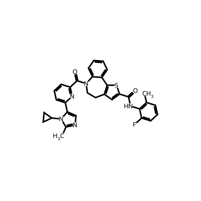 Cc1cccc(F)c1NC(=O)c1cc2c(s1)-c1ccccc1N(C(=O)c1cccc(-c3cnc(C)n3C3CC3)n1)CC2